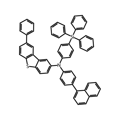 c1ccc(-c2ccc3sc4ccc(N(c5ccc(-c6cccc7ccccc67)cc5)c5ccc([Si](c6ccccc6)(c6ccccc6)c6ccccc6)cc5)cc4c3c2)cc1